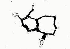 Cc1ccc2c(c1F)CCCCC2=O